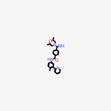 Cc1ccc(NC(=O)c2ccc(C(=N)N3CC(C)OC(C)C3)cc2)cc1-c1ccccn1